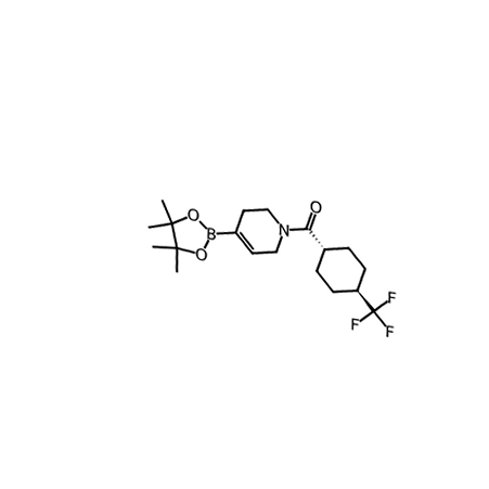 CC1(C)OB(C2=CCN(C(=O)[C@H]3CC[C@H](C(F)(F)F)CC3)CC2)OC1(C)C